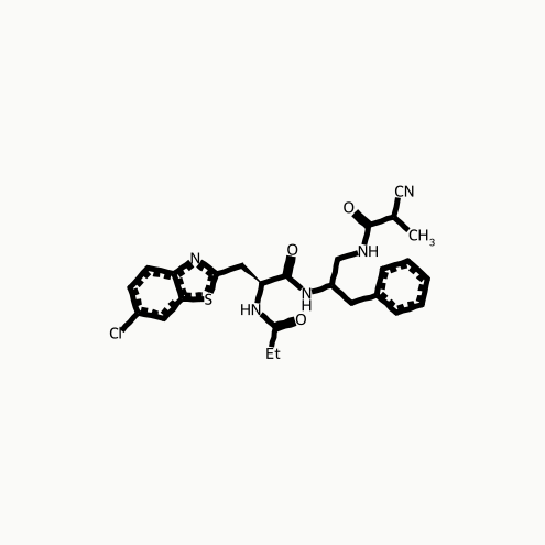 CCC(=O)N[C@@H](Cc1nc2ccc(Cl)cc2s1)C(=O)NC(CNC(=O)C(C)C#N)Cc1ccccc1